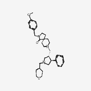 COc1ccc(CN2CCC3(CCN(C[C@H]4CN(CC5CCOCC5)C[C@@H]4c4ccccc4)CC3)C2=O)cc1